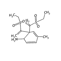 C=C(C1(C(=C)S(=O)(=O)CC)C=C(C)C=CC1N)S(=O)(=O)CC